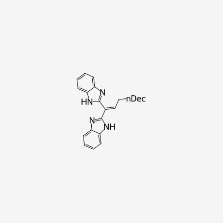 CCCCCCCCCCCC=C(c1nc2ccccc2[nH]1)c1nc2ccccc2[nH]1